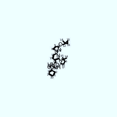 C[C@@H]1CN(c2nc(-n3ccc(OCC4(C)CC4)n3)ccc2C(=O)NS(=N)(=O)c2ccccc2)C(C)(C)C1